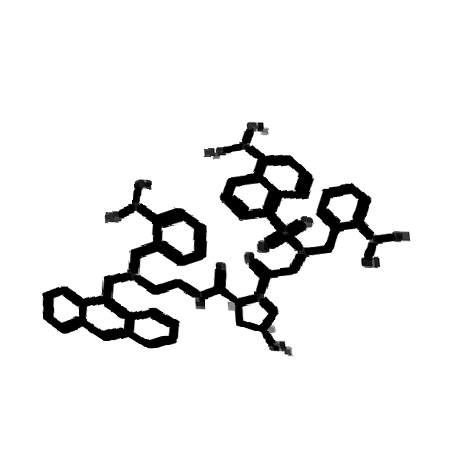 CN(C)c1cccc2c(S(=O)(=O)N(CC(=O)N3C[C@@H](N)C[C@H]3C(=O)NCCN(Cc3ccccc3B(O)O)Cc3c4ccccc4cc4ccccc34)Cc3ccccc3B(O)O)cccc12